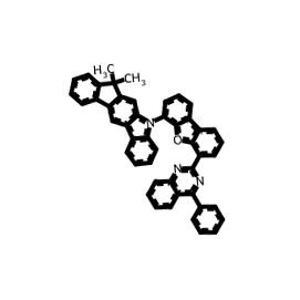 CC1(C)c2ccccc2-c2cc3c4ccccc4n(-c4cccc5c4oc4c(-c6nc(-c7ccccc7)c7ccccc7n6)cccc45)c3cc21